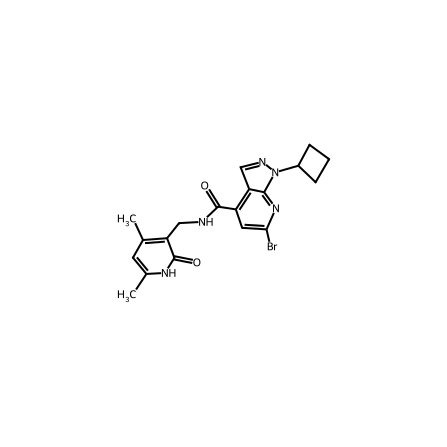 Cc1cc(C)c(CNC(=O)c2cc(Br)nc3c2cnn3C2CCC2)c(=O)[nH]1